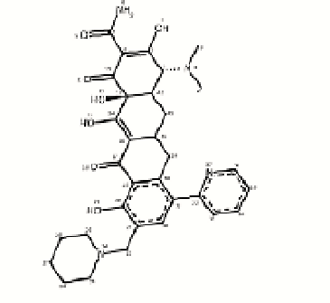 CN(C)[C@H]1C(O)=C(C(N)=O)C(=O)[C@@]2(O)C(O)=C3C(=O)c4c(O)c(CN5CCCCC5)cc(-c5ccccn5)c4CC3CC12